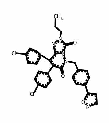 CCCn1nc2c(-c3ccc(Cl)cc3)c(-c3ccc(Cl)cc3)c(=O)n(Cc3ccc(-c4ccno4)cc3)n2c1=O